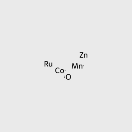 [Co].[Mn].[O].[Ru].[Zn]